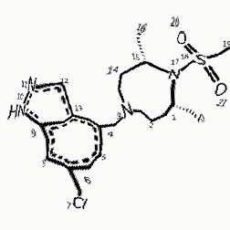 C[C@@H]1CN(c2cc(Cl)cc3[nH]ncc23)C[C@H](C)N1S(C)(=O)=O